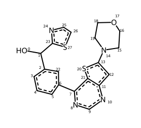 OC(c1cccc(-c2ncnc3cc(N4CCOCC4)sc23)c1)c1nccs1